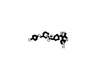 O=S(=O)(CC1CCC(c2nncc3cnc4[nH]ccc4c23)CC1)N1CCCC(COc2ccc(Cl)cc2)C1